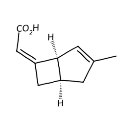 CC1=C[C@@H]2/C(=C\C(=O)O)C[C@@H]2C1